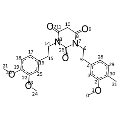 COc1cc(CCN2C(=O)CC(=O)N(CCc3ccc(OC)c(OC)c3)C2=O)ccc1C